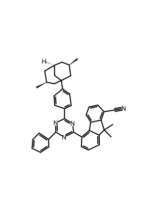 C[C@@H]1C[C@@H]2C[C@H](C)CC(c3ccc(-c4nc(-c5ccccc5)nc(-c5cccc6c5-c5cccc(C#N)c5C6(C)C)n4)cc3)(C1)C2